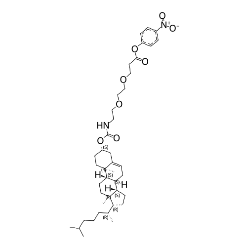 CC(C)CCC[C@@H](C)[C@H]1CC[C@H]2[C@@H]3CC=C4C[C@@H](OC(=O)NCCOCCOCCC(=O)Oc5ccc([N+](=O)[O-])cc5)CC[C@]4(C)[C@H]3CC[C@]12C